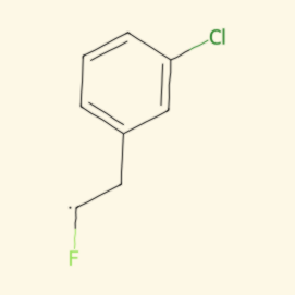 F[CH]Cc1cccc(Cl)c1